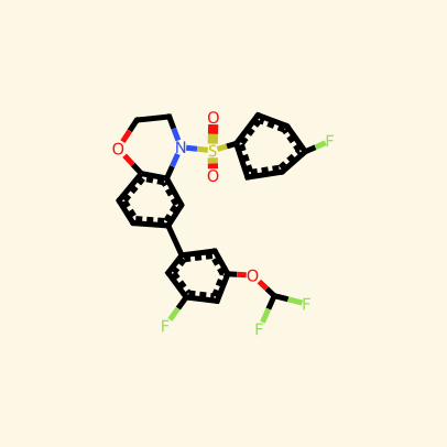 O=S(=O)(c1ccc(F)cc1)N1CCOc2ccc(-c3cc(F)cc(OC(F)F)c3)cc21